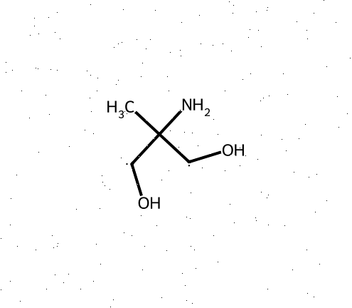 CC(N)([CH]O)[CH]O